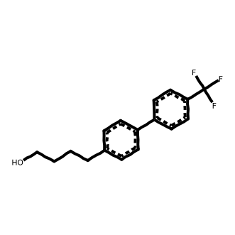 OCCCCc1ccc(-c2ccc(C(F)(F)F)cc2)cc1